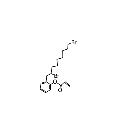 C=CC(=O)Oc1ccccc1CC(Br)CCCCCCCBr